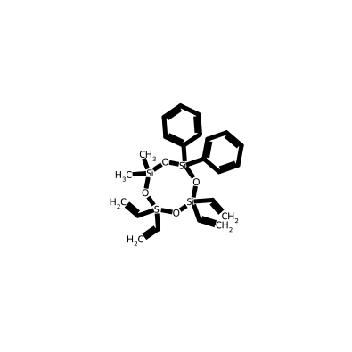 C=C[Si]1(C=C)O[Si](C)(C)O[Si](c2ccccc2)(c2ccccc2)O[Si](C=C)(C=C)O1